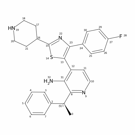 C[C@@H](c1ccccc1)c1nccc(-c2sc(C3CCNCC3)nc2-c2ccc(F)cc2)c1N